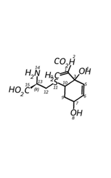 C=C(C(=O)O)C1(O)C=CC(O)CC1SC[C@H](N)C(=O)O